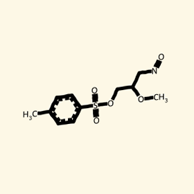 COC(CN=O)COS(=O)(=O)c1ccc(C)cc1